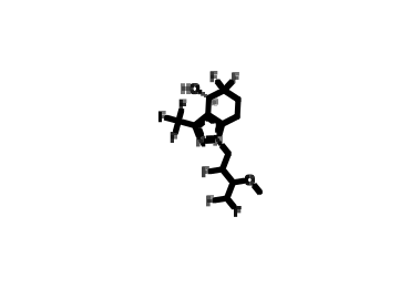 COC(C(F)F)C(F)Cn1nc(C(F)(F)F)c2c1CCC(F)(F)[C@H]2O